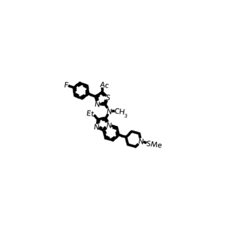 CCc1nc2ccc(C3CCN(SC)CC3)cn2c1N(C)c1nc(-c2ccc(F)cc2)c(C(C)=O)s1